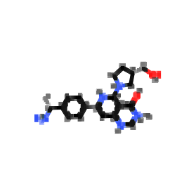 C[C@@H](N)c1ccc(-c2cc3ncn(C)c(=O)c3c(N3CC[C@H](CO)C3)n2)cc1